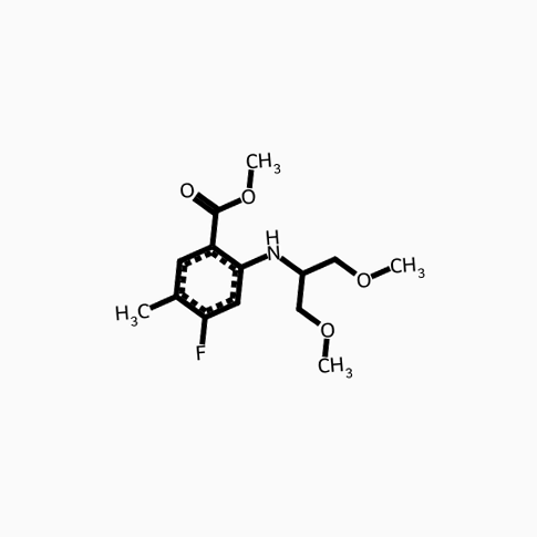 COCC(COC)Nc1cc(F)c(C)cc1C(=O)OC